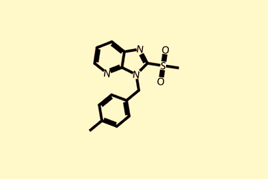 Cc1ccc(Cn2c(S(C)(=O)=O)nc3cccnc32)cc1